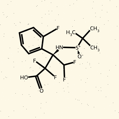 CC(C)(C)[S@@+]([O-])N[C@@](c1ccccc1F)(C(F)F)C(F)(F)C(=O)O